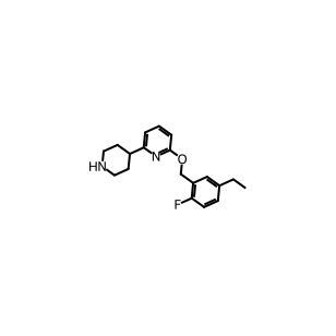 CCc1ccc(F)c(COc2cccc(C3CCNCC3)n2)c1